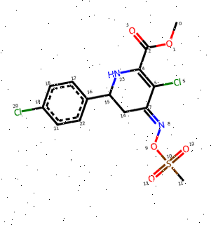 COC(=O)C1=C(Cl)C(=NOS(C)(=O)=O)CC(c2ccc(Cl)cc2)N1